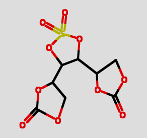 O=C1OCC(C2OS(=O)(=O)OC2C2COC(=O)O2)O1